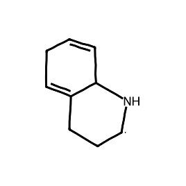 [CH]1CCC2=CCC=CC2N1